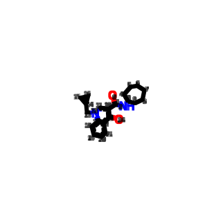 O=C(NC1CCCCCC1)c1cn(CC2CC2)c2ccccc2c1=O